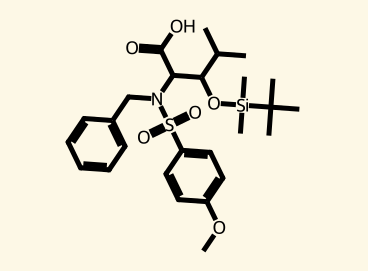 COc1ccc(S(=O)(=O)N(Cc2ccccc2)C(C(=O)O)C(O[Si](C)(C)C(C)(C)C)C(C)C)cc1